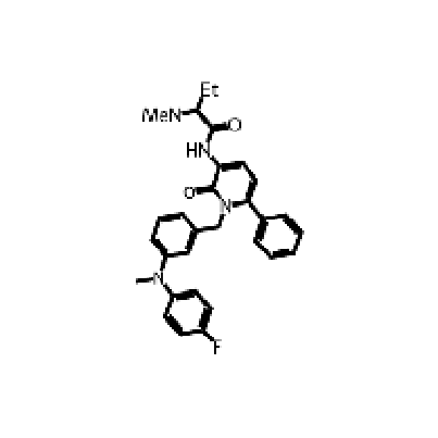 CCC(NC)C(=O)Nc1ccc(-c2ccccc2)n(Cc2cccc(N(C)c3ccc(F)cc3)c2)c1=O